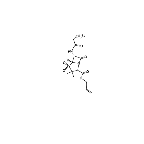 C=CCOC(=O)C1N2C(=O)[C@@H](NC(=O)CC(=O)OCC)[C@H]2S(=O)(=O)C1(C)C